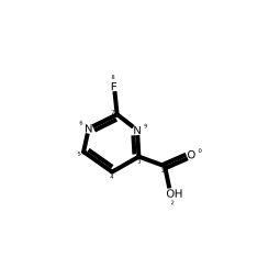 O=C(O)c1c[c]nc(F)n1